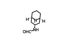 CN1[C@@H]2CCC[C@H]1C[C@@H](NC=O)C2